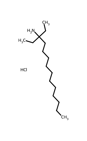 CCCCCCCCCCCC(N)(CC)CC.Cl